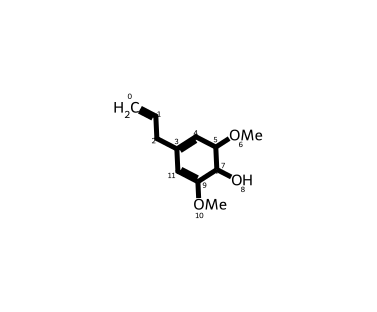 C=CCC1=CC(OC)[C](O)C(OC)=C1